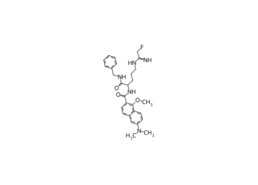 COc1c(C(=O)NC(CCCNC(=N)CF)C(=O)NCc2ccccc2)ccc2cc(N(C)C)ccc12